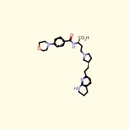 O=C(N[C@H](CCN1CC[C@@H](CCc2ccc3c(n2)NCCC3)C1)C(=O)O)c1ccc(N2CCOCC2)cc1